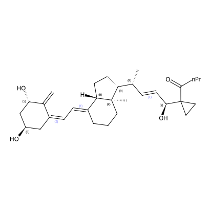 C=C1/C(=C\C=C2/CCC[C@]3(C)[C@@H]([C@H](C)/C=C/[C@H](O)C4(C(=O)CCC)CC4)CC[C@@H]23)C[C@@H](O)C[C@@H]1O